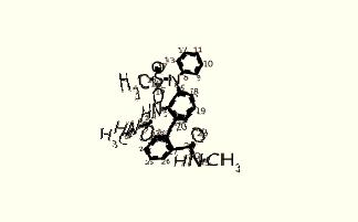 CNC(=O)Nc1c(N(c2ccccc2)S(C)(=O)=O)[c]ccc1-c1ccccc1C(=O)NC